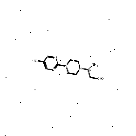 N[C@H](CC=O)N1CCN(c2ncc(C(F)(F)F)cn2)CC1